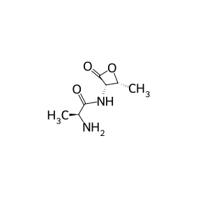 C[C@H](N)C(=O)N[C@@H]1C(=O)O[C@@H]1C